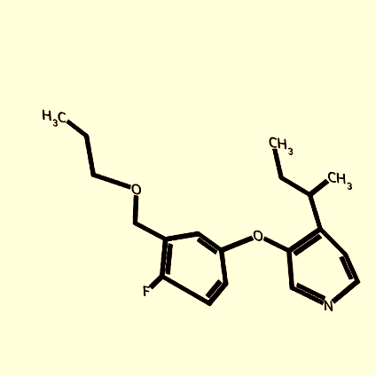 CCCOCc1cc(Oc2cnccc2C(C)CC)ccc1F